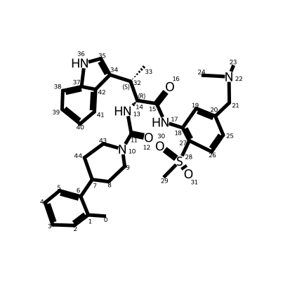 Cc1ccccc1C1CCN(C(=O)N[C@@H](C(=O)Nc2cc(CN(C)C)ccc2S(C)(=O)=O)[C@@H](C)c2c[nH]c3ccccc23)CC1